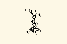 Cc1cc(CNC(=O)Oc2sc(C)c3c2C[C@@H]2[C@H]3C2(C)C)ccc1OC[C@H](O)CO